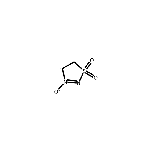 O=S1(=O)C[CH][N+]([O-])=N1